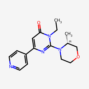 CCn1c(N2CCOC[C@H]2C)nc(-c2ccncc2)cc1=O